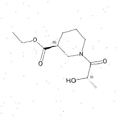 CCOC(=O)[C@H]1CCCN(C(=O)[C@H](C)O)C1